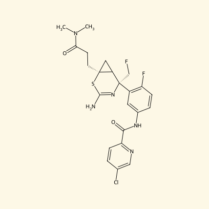 CN(C)C(=O)CC[C@]12CC1[C@@](CF)(c1cc(NC(=O)c3ccc(Cl)cn3)ccc1F)N=C(N)S2